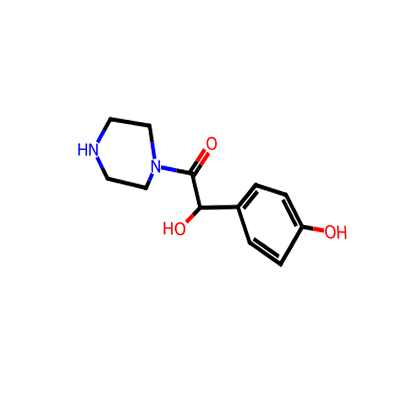 O=C(C(O)c1ccc(O)cc1)N1CCNCC1